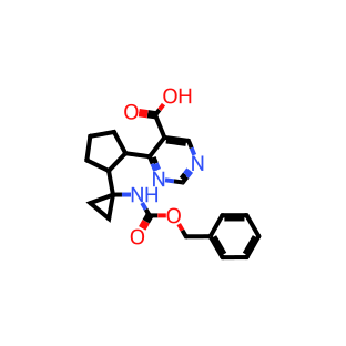 O=C(NC1(C2CCCC2c2ncncc2C(=O)O)CC1)OCc1ccccc1